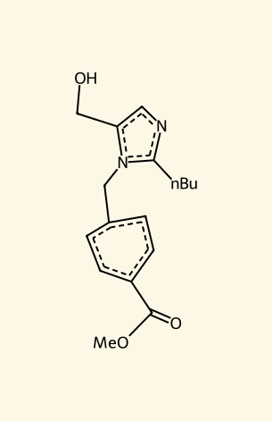 CCCCc1ncc(CO)n1Cc1ccc(C(=O)OC)cc1